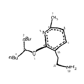 CCCCC(CCCC)Oc1nc(C)ccc1CN